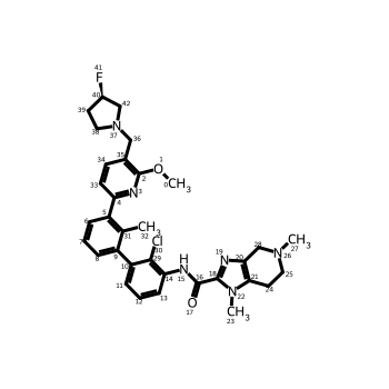 COc1nc(-c2cccc(-c3cccc(NC(=O)c4nc5c(n4C)CCN(C)C5)c3Cl)c2C)ccc1CN1CC[C@@H](F)C1